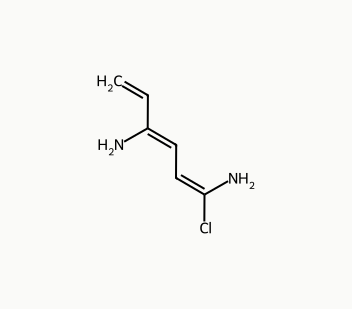 C=C/C(N)=C/C=C(\N)Cl